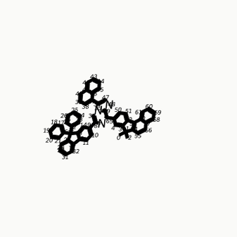 CC1(C)c2cc(-c3nc(-c4ccc5c(c4)C(c4ccccc4)(c4ccccc4)c4ccccc4-5)cn4c(-c5cccc6ccccc56)cnc34)ccc2-c2c1ccc1ccccc21